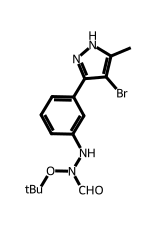 Cc1[nH]nc(-c2cccc(NN(C=O)OC(C)(C)C)c2)c1Br